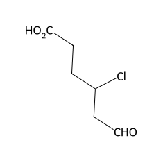 O=CCC(Cl)CCC(=O)O